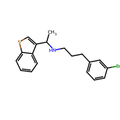 CC(NCCCc1cccc(Br)c1)c1csc2ccccc12